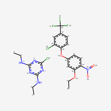 CCNc1nc(Cl)nc(NCC)n1.CCOc1cc(Oc2ccc(C(F)(F)F)cc2Cl)ccc1[N+](=O)[O-]